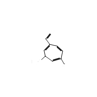 CC1C=C(I)C=CC(C=O)=C1